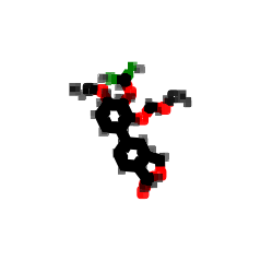 COCOc1c(-c2ccc3c(c2)COC3=O)ccc(OC)c1OC(F)F